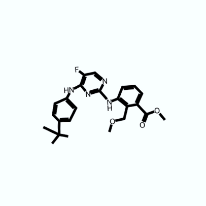 COCc1c(Nc2ncc(F)c(Nc3ccc(C(C)(C)C)cc3)n2)cccc1C(=O)OC